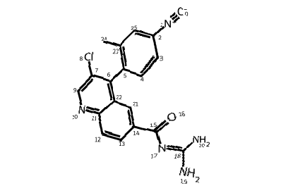 [C-]#[N+]c1ccc(-c2c(Cl)cnc3ccc(C(=O)N=C(N)N)cc23)c(C)c1